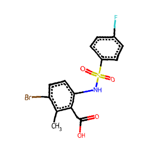 Cc1c(Br)ccc(NS(=O)(=O)c2ccc(F)cc2)c1C(=O)O